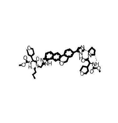 CCC[C@H](C)N(Cc1nc2ccc3cc4c(cc3c2[nH]1)OCc1cc(-c2cnc([C@@H]3CC[C@H](C)N3C(=O)[C@@H](NC(=O)OC)C3CCOCC3)[nH]2)ccc1-4)C(=O)[C@@H](NC(=O)OC)C1CCOCC1